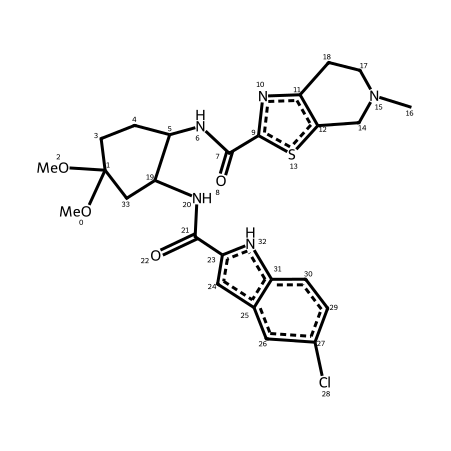 COC1(OC)CCC(NC(=O)c2nc3c(s2)CN(C)CC3)C(NC(=O)c2cc3cc(Cl)ccc3[nH]2)C1